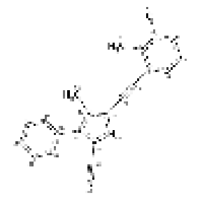 Cc1c(Cl)cccc1C#Cc1nc(C#N)c(-c2cccnc2)n1C